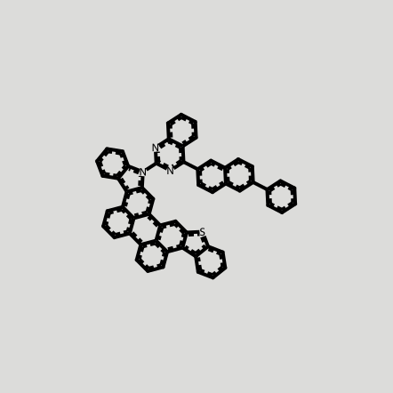 c1ccc(-c2ccc3cc(-c4nc(-n5c6ccccc6c6c7cccc8c9cccc%10c%11c(cc(c(cc65)c87)c9%10)sc5ccccc5%11)nc5ccccc45)ccc3c2)cc1